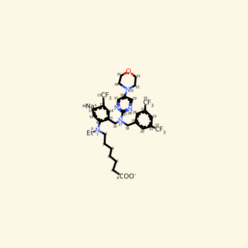 CCN(CCCCCCC(=O)[O-])c1ccc(C(F)(F)F)cc1CN(Cc1cc(C(F)(F)F)cc(C(F)(F)F)c1)c1ncc(N2CCOCC2)cn1.[Na+]